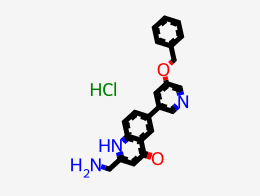 Cl.NCc1cc(=O)c2cc(-c3cncc(OCc4ccccc4)c3)ccc2[nH]1